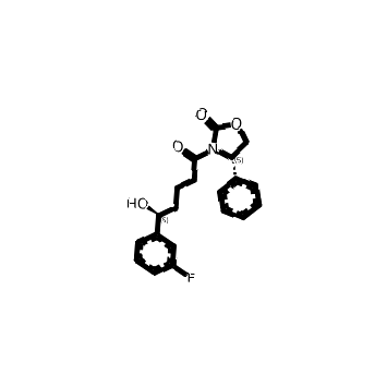 O=C(CCC[C@H](O)c1cccc(F)c1)N1C(=O)OC[C@@H]1c1ccccc1